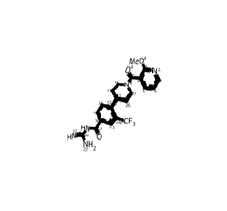 COc1ncccc1C(=O)N1CCC(c2ccc(C(=O)NC(=N)N)cc2C(F)(F)F)CC1